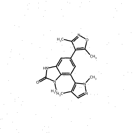 Cc1cnn(C)c1-c1cc(-c2c(C)noc2C)cc2[nH]c(=O)n(C)c12